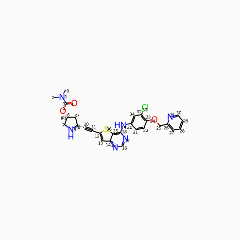 CN(C)C(=O)O[C@H]1CN[C@@H](C#Cc2cc3ncnc(Nc4ccc(OCc5ccccn5)c(Cl)c4)c3s2)C1